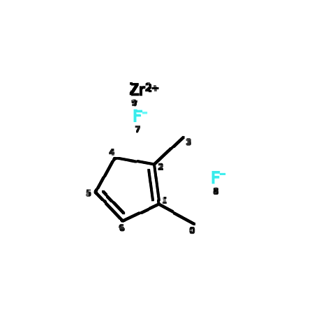 CC1=C(C)CC=C1.[F-].[F-].[Zr+2]